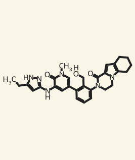 CCc1cc(Nc2cc(-c3cccc(N4CCn5c(cc6c5CCCC6)C4=O)c3CO)cn(C)c2=O)n[nH]1